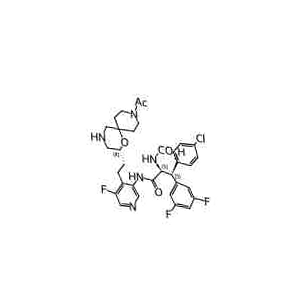 CC(=O)N1CCC2(CC1)CNC[C@@H](CCc1c(F)cncc1NC(=O)[C@@H](NC(=O)O)[C@@H](c1ccc(Cl)cc1)c1cc(F)cc(F)c1)O2